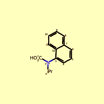 CC(C)N(C(=O)O)c1cccc2ccccc12